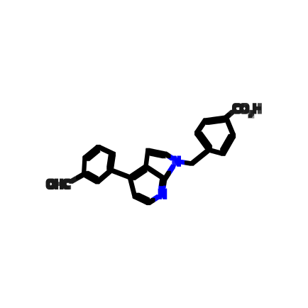 O=Cc1cccc(-c2ccnc3c2ccn3Cc2ccc(C(=O)O)cc2)c1